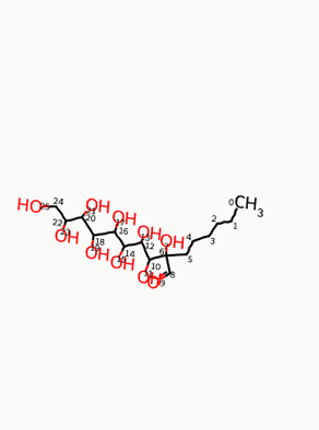 CCCCCCC(O)(C=O)C(O)C(O)C(O)C(O)C(O)C(O)C(O)CO